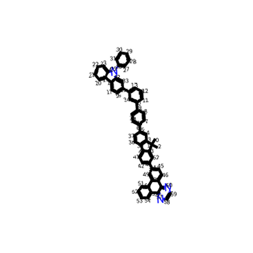 CC1(C)c2cc(-c3ccc(-c4cccc(-c5ccc6c7ccccc7n(-c7ccccc7)c6c5)c4)cc3)ccc2-c2ccc(-c3ccc4c(c3)c3ccccc3c3nccnc43)cc21